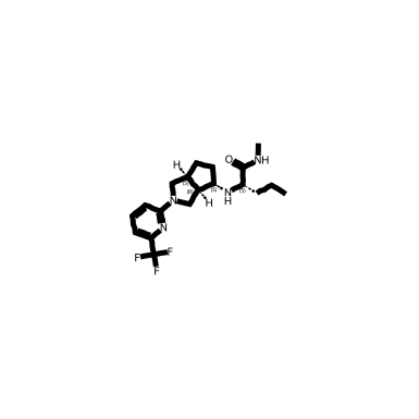 CCC[C@H](N[C@H]1CC[C@@H]2CN(c3cccc(C(F)(F)F)n3)C[C@@H]21)C(=O)NC